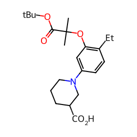 CCc1ccc(N2CCCC(C(=O)O)C2)cc1OC(C)(C)C(=O)OC(C)(C)C